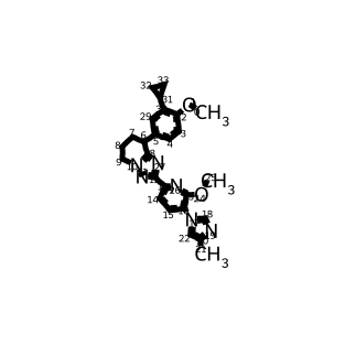 COc1ccc(C2CCCn3nc(-c4ccc(-n5cnc(C)c5)c(OC)n4)nc32)cc1C1CC1